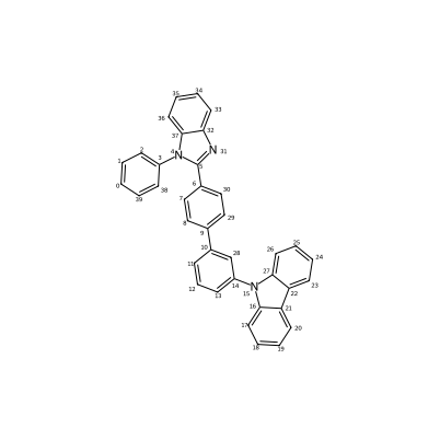 c1ccc(-n2c(-c3ccc(-c4cccc(-n5c6ccccc6c6ccccc65)c4)cc3)nc3ccccc32)cc1